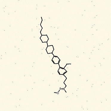 CCCCCC1CCC(C2CCC(c3ccc(-c4ccc(CCCN(C)SOC)cc4CC)cc3)CC2)CC1